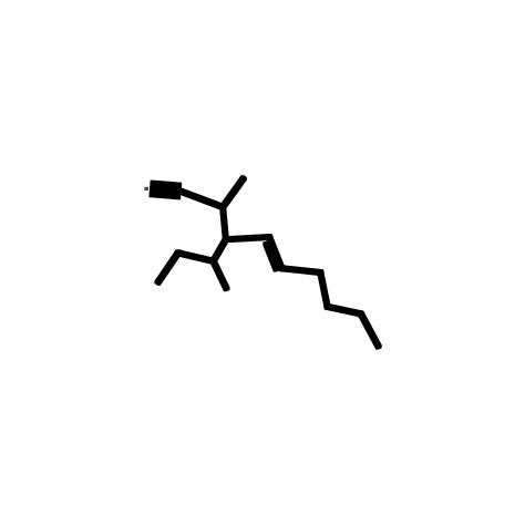 [C]#CC(C)C(C=CCCCC)C(C)CC